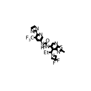 CCC(c1c(NC(=O)Nc2cnc(-n3nccn3)c(C(F)(F)F)c2)cnc2sc(C)nc12)N1CC(F)(F)C1